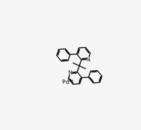 CC(C)(c1ncccc1-c1ccccc1)c1ncccc1-c1ccccc1.[Pd+2]